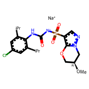 CO[C@H]1COc2c(S(=O)(=O)[N-]C(=O)Nc3c(C(C)C)cc(Cl)cc3C(C)C)cnn2C1.[Na+]